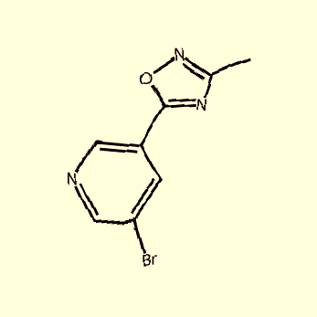 Cc1noc(-c2cncc(Br)c2)n1